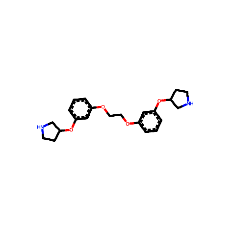 c1cc(OCCOc2cccc(OC3CCNC3)c2)cc(OC2CCNC2)c1